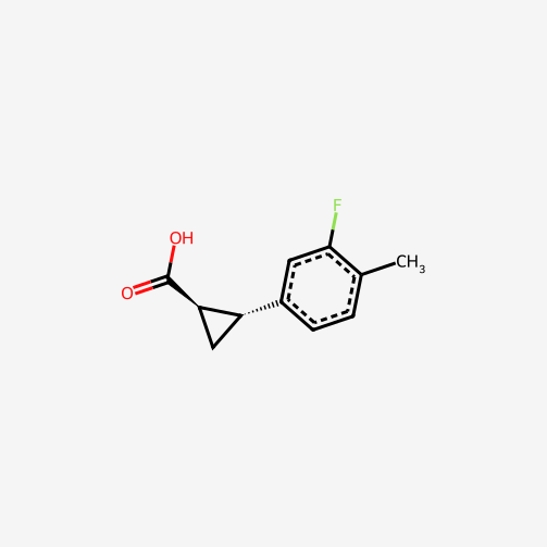 Cc1ccc([C@@H]2C[C@H]2C(=O)O)cc1F